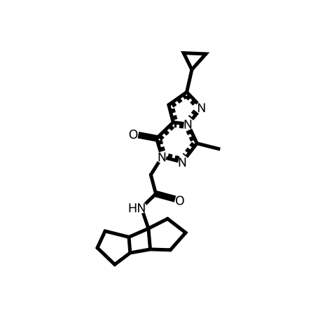 Cc1nn(CC(=O)NC23CCCC2C2CCCC23)c(=O)c2cc(C3CC3)nn12